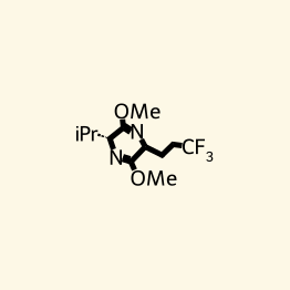 COC1=N[C@H](C(C)C)C(OC)=NC1CCC(F)(F)F